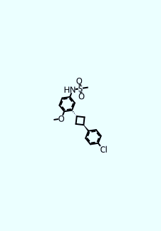 COc1ccc(NS(C)(=O)=O)cc1[C@H]1C[C@H](c2ccc(Cl)cc2)C1